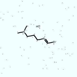 CCC=NCCCN(C)C.Cl